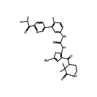 Cc1ccc(NC(=O)Nc2sc(C(C)(C)C)cc2C(=O)N2CCNC(=O)C2(C)C)cc1-c1ccc(C(=O)N(C)C)nc1